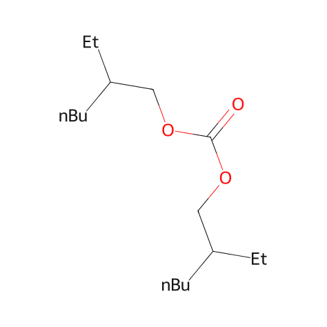 CCCCC(CC)COC(=O)OCC(CC)CCCC